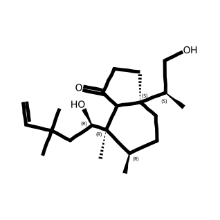 C=CC(C)(C)C[C@@H](O)[C@@]1(C)C2C(=O)CC[C@]2([C@H](C)CO)CC[C@H]1C